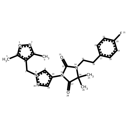 Cc1noc(C)c1Cn1cc(N2C(=O)N(CCc3ccc(F)cc3)C(C)(C)C2=O)cn1